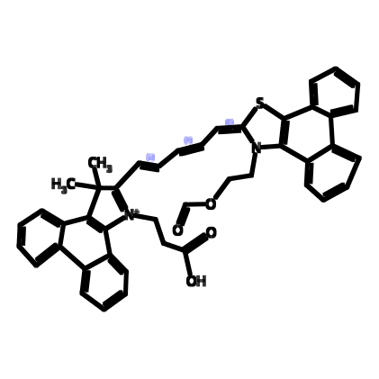 CC1(C)C(/C=C/C=C/C=C2/Sc3c(c4ccccc4c4ccccc34)N2CCOC=O)=[N+](CCC(=O)O)c2c1c1ccccc1c1ccccc21